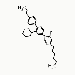 CCCCCCc1ccc(-c2ccc(-c3ccc(CCC)cc3)c(C3CCCCC3)c2)c(F)c1